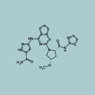 CO[C@H]1C[C@@H](C(=O)Nc2nccs2)N(c2nc(Nc3cc(C(N)=O)[nH]n3)c3cccn3n2)C1